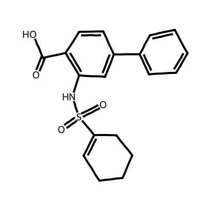 O=C(O)c1ccc(-c2ccccc2)cc1NS(=O)(=O)C1=CCCCC1